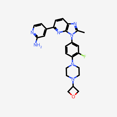 Cc1nc2ccc(-c3ccnc(N)c3)nc2n1-c1ccc(N2CCN(C3COC3)CC2)c(F)c1